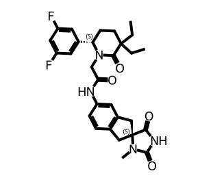 CCC1(CC)CC[C@@H](c2cc(F)cc(F)c2)N(CC(=O)Nc2ccc3c(c2)C[C@@]2(C3)C(=O)NC(=O)N2C)C1=O